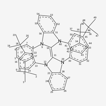 CC(C)(C)c1cccc(N2C(=C3N(c4cccc(C(C)(C)C)c4)c4ccccc4N3c3cccc(C(C)(C)C)c3)N(c3cccc(C(C)(C)C)c3)c3ccccc32)c1